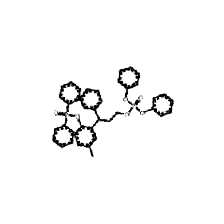 Cc1ccc(OP(=O)(c2ccccc2)c2ccccc2)c(C(CCOP(=O)(Oc2ccccc2)Oc2ccccc2)c2ccccc2)c1